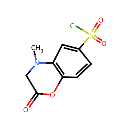 CN1CC(=O)Oc2ccc(S(=O)(=O)Cl)cc21